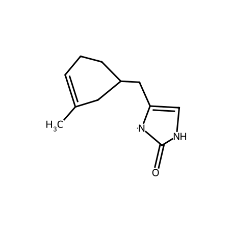 CC1=CCCC(CC2=CNC(=O)[N]2)C1